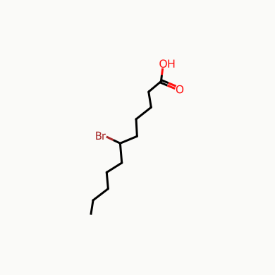 CCCCCC(Br)CCCCC(=O)O